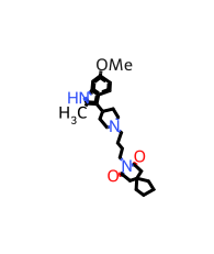 COc1ccc2c(C3CCN(CCCCN4C(=O)CC5(CCCC5)CC4=O)CC3)c(C)[nH]c2c1